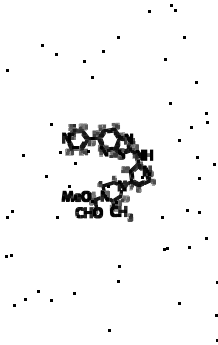 CO[C@@H](C=O)N1CCN(c2ccnc(Nc3nc4ccc(-c5ccncc5)nc4s3)c2)CC1C